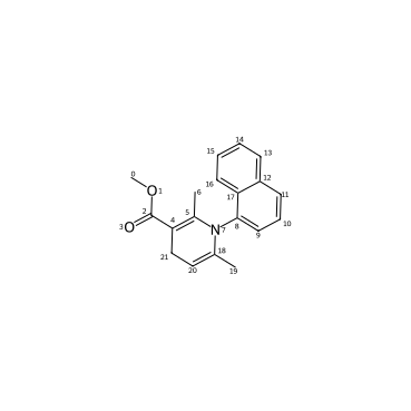 COC(=O)C1=C(C)N(c2cccc3ccccc23)C(C)=CC1